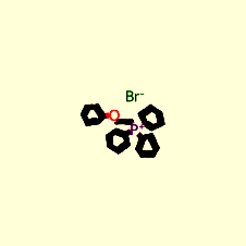 [Br-].c1ccc(OCC[P+](c2ccccc2)(c2ccccc2)c2ccccc2)cc1